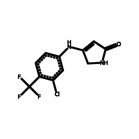 O=C1C=C(Nc2ccc(C(F)(F)F)c(Cl)c2)CN1